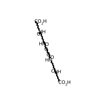 O=C(O)CCCCCCCNC(=O)CCCCCCCNC(=O)CCOCCCOCCC(=O)NCCCCCCCC(=O)NCCCCCCCC(=O)O